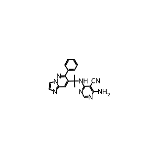 CC(C)(Nc1ncnc(N)c1C#N)c1cc2nccn2nc1-c1ccccc1